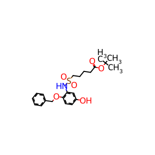 CC(C)(C)OC(=O)CCCCS(=O)(=O)Nc1cc(O)ccc1OCc1ccccc1